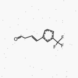 O=[C]C/C=C/c1cccc(C(F)(F)F)c1